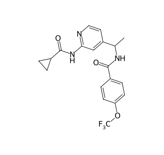 CC(NC(=O)c1ccc(OC(F)(F)F)cc1)c1ccnc(NC(=O)C2CC2)c1